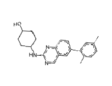 Cc1ccc(C)c(-c2ccc3nc(NC4CCC(O)CC4)ncc3c2)c1